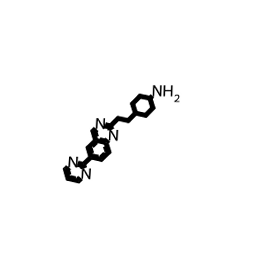 NC1CCC(CCc2ncc3cc(-c4ncccn4)ccc3n2)CC1